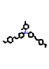 C=Cc1ccc(C=Cc2ccc(N(c3ccc(C=Cc4ccc(C=C)cc4)cc3)c3ccc(C)cc3C)cc2)cc1